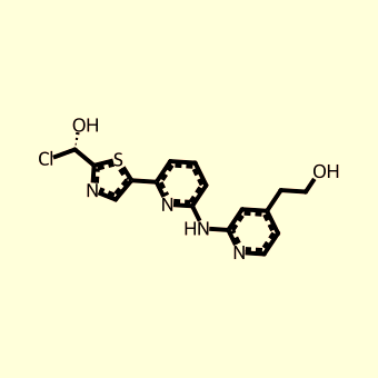 OCCc1ccnc(Nc2cccc(-c3cnc([C@@H](O)Cl)s3)n2)c1